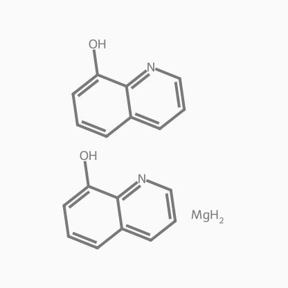 Oc1cccc2cccnc12.Oc1cccc2cccnc12.[MgH2]